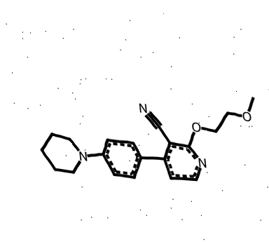 COCCOc1nccc(-c2ccc(N3CCCCC3)cc2)c1C#N